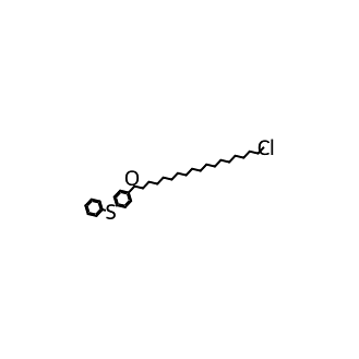 O=C(CCCCCCCCCCCCCCCCCCl)c1ccc(Sc2ccccc2)cc1